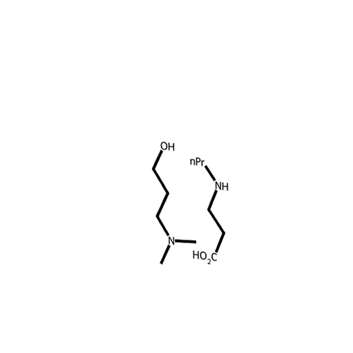 CCCNCCC(=O)O.CN(C)CCCO